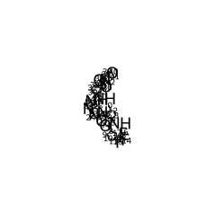 Cc1ccc(NC(=O)c2cccc(C(F)(F)F)c2)cc1NC(=O)N(C)c1cc(Nc2cccc(S(=O)(=O)N3CCOCC3)c2)ncn1